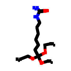 CCO[Si](CCCCCCNC(N)=O)(OC)OCC